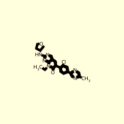 CCn1c(=O)c(-c2ccc(-c3cnc(C)cn3)cc2Cl)cc2cnc(N[C@@H]3CCOC3)nc21